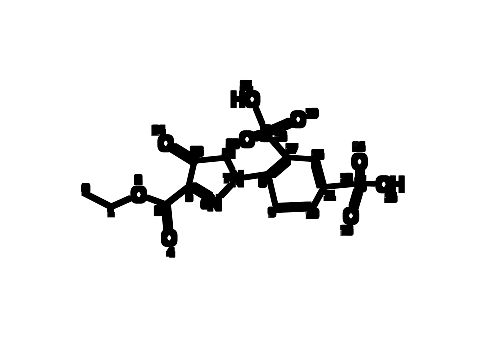 CCOC(=O)C1=NN(c2ccc(S(=O)(=O)O)cc2S(=O)(=O)O)CC1=O